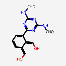 O=CNc1nc(NC=O)nc(-c2cccc(=CO)c2=CO)n1